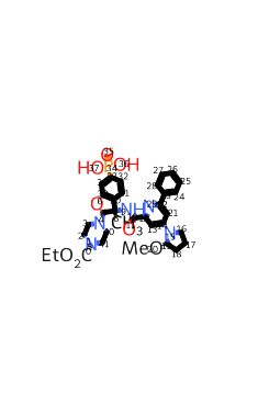 CCOC(=O)N1CCN(C(=O)[C@@](C)(NC(=O)c2cc(N3CCC[C@@H]3OC)cc(-c3ccccc3)n2)c2ccc(P(=O)(O)O)cc2)CC1